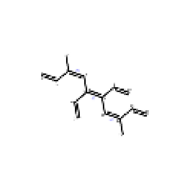 C=C\C(C)=C/C(C=C)=C(C=C)/C=C(/C)C=C